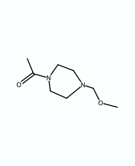 COCN1CCN(C(C)=O)CC1